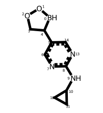 B1OOCC1c1cnc(NC2CC2)nc1